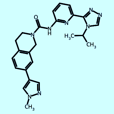 CC(C)n1cnnc1-c1cccc(NC(=O)N2CCc3ccc(-c4cnn(C)c4)cc3C2)n1